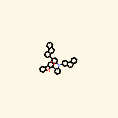 c1ccc(N(c2ccc(-c3cccc4c3ccc3ccccc34)cc2)c2ccc3c(ccc4ccccc43)c2)c(-c2cccc3c2oc2ccccc23)c1